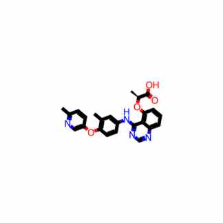 Cc1ccc(Oc2ccc(Nc3ncnc4cccc(O[C@@H](C)C(=O)O)c34)cc2C)cn1